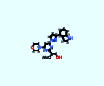 COC(CO)c1nc(N2CCOCC2)cc(-n2ccc(-c3cccc4[nH]ccc34)n2)n1